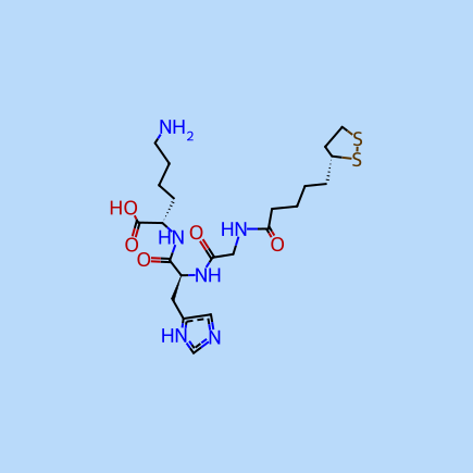 NCCCC[C@H](NC(=O)[C@H](Cc1cnc[nH]1)NC(=O)CNC(=O)CCCC[C@@H]1CCSS1)C(=O)O